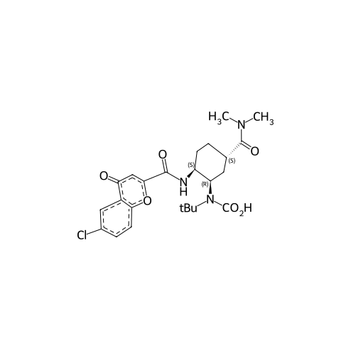 CN(C)C(=O)[C@H]1CC[C@H](NC(=O)c2cc(=O)c3cc(Cl)ccc3o2)[C@H](N(C(=O)O)C(C)(C)C)C1